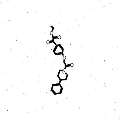 CCOC(=O)C(=O)c1ccc(OCC(=O)N2CCC(c3ccccc3)CC2)cc1